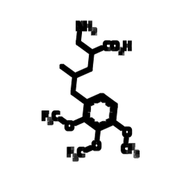 CC(Cc1ccc(OC(F)(F)F)c(OC(F)(F)F)c1OC(F)(F)F)CC(CN)C(=O)O